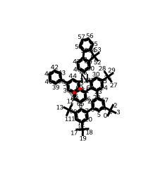 CC(C)(C)c1cc(-c2cc(C(C)(C)C)cc(C(C)(C)C)c2)cc(-c2cc(C(C)(C)C)cc(N(c3cccc(-c4ccccc4)c3)c3ccc4c(c3)C(C)(C)c3ccccc3-4)c2-c2ccccc2)c1